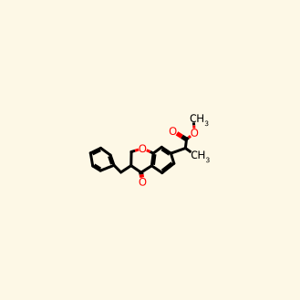 COC(=O)C(C)c1ccc2c(c1)OCC(Cc1ccccc1)C2=O